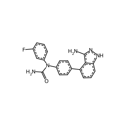 NC(=O)N(c1ccc(-c2cccc3[nH]nc(N)c23)cc1)c1cccc(F)c1